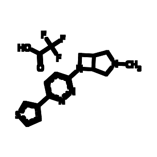 CN1CC2CN(c3ccc(-c4ccsc4)nn3)C2C1.O=C(O)C(F)(F)F